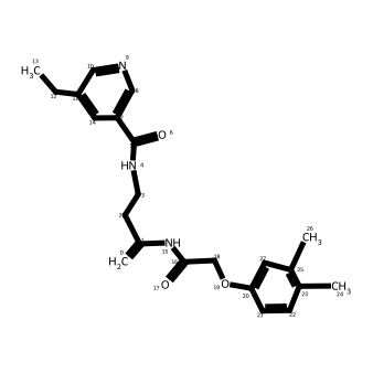 C=C(CCNC(=O)c1cncc(CC)c1)NC(=O)COc1ccc(C)c(C)c1